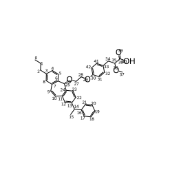 CCCc1ccc2c(c1)C=Cc1cc(C(C)c3ccccc3)ccc1C2OCCOc1ccc(CC(OC)C(=O)O)cc1